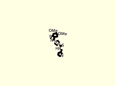 COc1cc2ncnc(N3CCN(C(=S)NCc4cccnc4)CC3)c2cc1OC